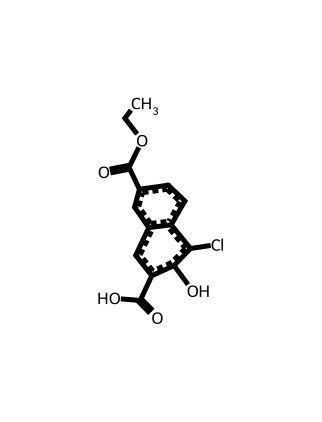 CCOC(=O)c1ccc2c(Cl)c(O)c(C(=O)O)cc2c1